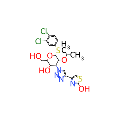 CC(C)OC1C(n2cc(-c3csc(O)n3)nn2)[C@@H](O)C(CO)O[C@@H]1Sc1ccc(Cl)c(Cl)c1